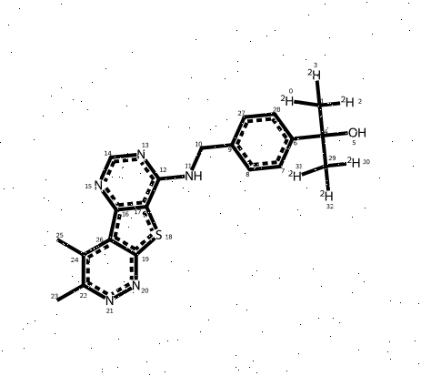 [2H]C([2H])([2H])C(O)(c1ccc(CNc2ncnc3c2sc2nnc(C)c(C)c23)cc1)C([2H])([2H])[2H]